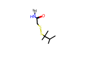 [3H]NC(=O)CSSC(C)(C)C(C)C